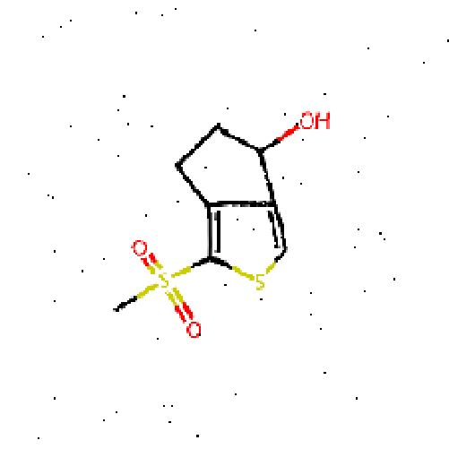 CS(=O)(=O)c1scc2c1CCC2O